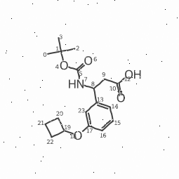 CC(C)(C)OC(=O)NC(CC(=O)O)c1cccc(OC2CCC2)c1